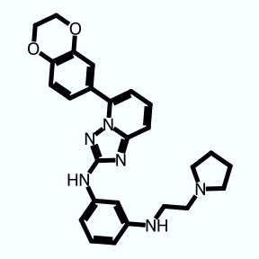 c1cc(NCCN2CCCC2)cc(Nc2nc3cccc(-c4ccc5c(c4)OCCO5)n3n2)c1